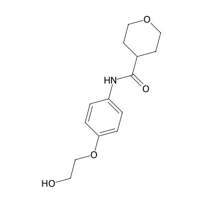 O=C(Nc1ccc(OCCO)cc1)C1CCOCC1